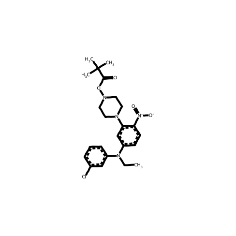 CCN(c1cccc(Cl)c1)c1ccc([N+](=O)[O-])c(N2CCN(OC(=O)C(C)(C)C)CC2)c1